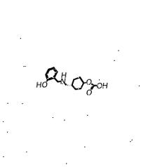 O=C(O)O[C@H]1CC[C@H](CNCc2ccccc2O)CC1